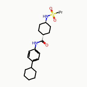 CC(C)S(=O)(=O)N[C@H]1CC[C@H](C(=O)Nc2ccc(C3CCCCC3)cc2)CC1